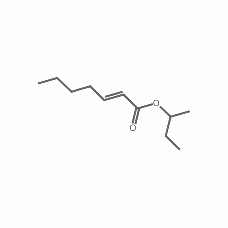 CCCCC=CC(=O)OC(C)CC